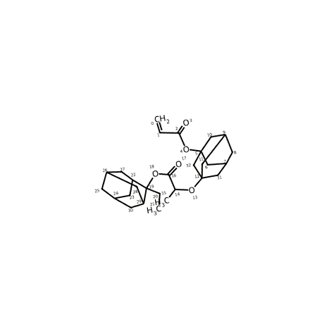 C=CC(=O)OC12CC3CC(C1)CC(OC(C)C(=O)OC1(CC)C4CC5CC(C4)CC1C5)(C3)C2